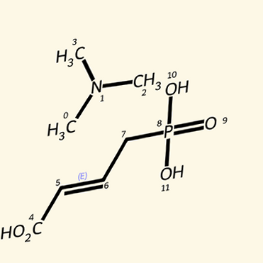 CN(C)C.O=C(O)/C=C/CP(=O)(O)O